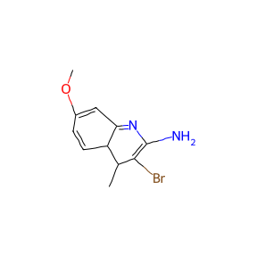 COC1=CC2=NC(N)=C(Br)C(C)C2C=C1